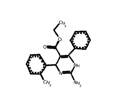 CCOC(=O)C1=C(c2ccccc2)NC(N)=NC1c1ccccc1C